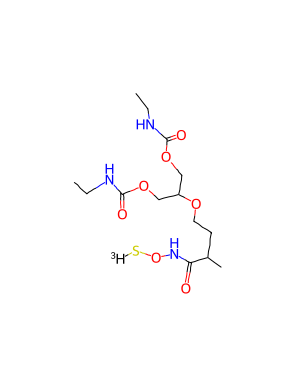 [3H]SONC(=O)C(C)CCOC(COC(=O)NCC)COC(=O)NCC